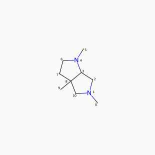 CN1CC2N(C)CCC2(C)C1